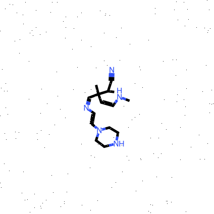 CN/C=C\C(C)(/C=N\C=C\N1CCNCC1)C(C)C#N